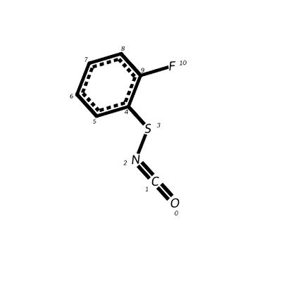 O=C=NSc1ccccc1F